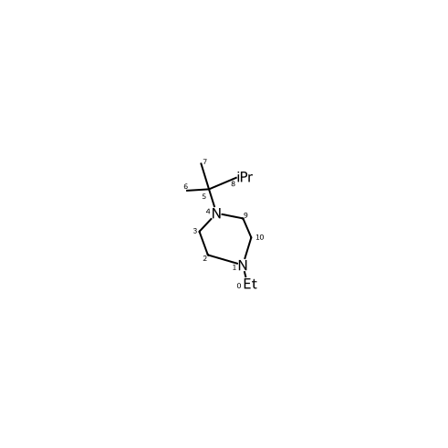 CCN1CCN(C(C)(C)C(C)C)CC1